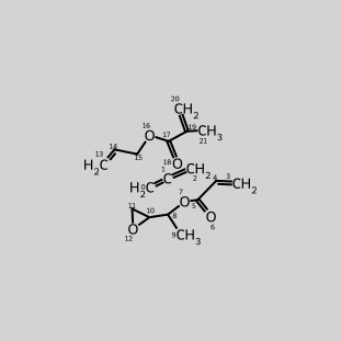 C=C=C.C=CC(=O)OC(C)C1CO1.C=CCOC(=O)C(=C)C